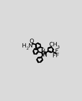 Cc1cc(-c2nc(-c3ccccc3)c(-c3ccccc3)n2Cc2ccc(C(N)=O)cc2)cc(C(F)(F)F)c1